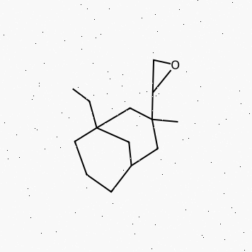 CCC12CCCC(C1)CC(C)(C1CO1)C2